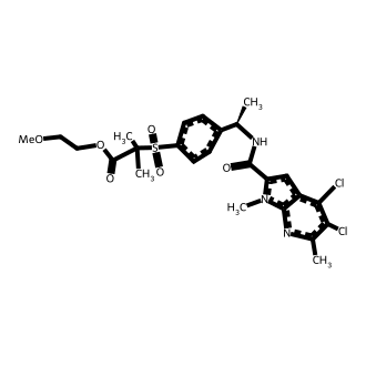 COCCOC(=O)C(C)(C)S(=O)(=O)c1ccc([C@@H](C)NC(=O)c2cc3c(Cl)c(Cl)c(C)nc3n2C)cc1